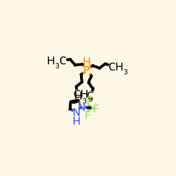 CCCC[PH](CCCC)(CCCC)CCCC.FC(F)(F)N1C=CCN1